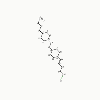 CCCC[C@H]1CC[C@H](CCC2CCC(/C=C/CCCF)CC2)CC1